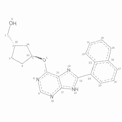 OC[C@H]1CC[C@H](Oc2ncnc3[nH]c(-c4cccc5ccccc45)nc23)C1